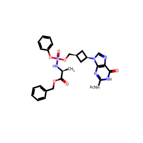 CC(=O)Nc1nc2c(ncn2[C@H]2C[C@@H](COP(=O)(N[C@@H](C)C(=O)OCc3ccccc3)Oc3ccccc3)C2)c(=O)[nH]1